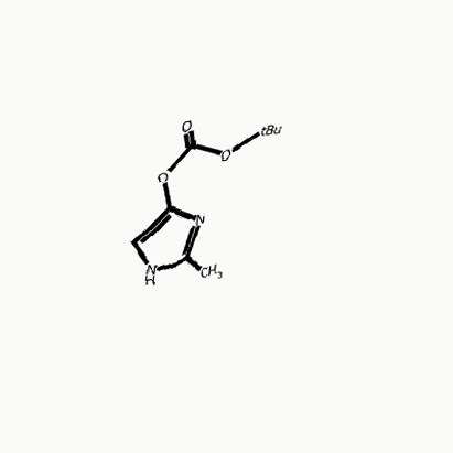 Cc1nc(OC(=O)OC(C)(C)C)c[nH]1